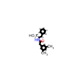 Cc1cc(C)cc(CC(=O)N[C@H](Cc2ccccc2)C(=O)O)c1